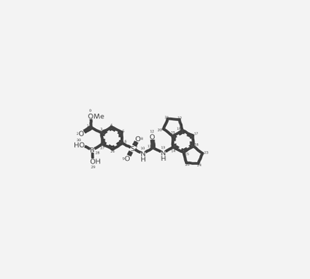 COC(=O)c1ccc(S(=O)(=O)NC(=O)Nc2c3c(cc4c2CCC4)CCC3)cc1B(O)O